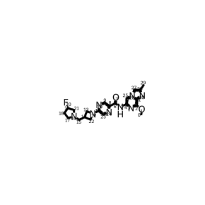 COc1nc(NC(=O)c2cnc(N3CC(CN4CC[C@H](F)C4)C3)cn2)cn2cc(C)nc12